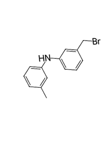 Cc1cccc(Nc2cccc(CBr)c2)c1